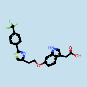 O=C(O)Cc1c[nH]c2cc(OCCc3csc(-c4ccc(C(F)(F)F)cc4)n3)ccc12